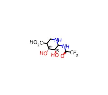 O=C(O)C1CNC(NC(=O)C(F)(F)F)[C@@H](O)[C@@H]1O